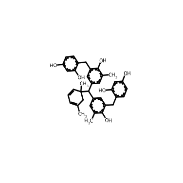 CC1=CC=CC(C)(C(c2cc(C)c(O)c(Cc3ccc(O)cc3O)c2)c2cc(C)c(O)c(Cc3ccc(O)cc3O)c2)C1